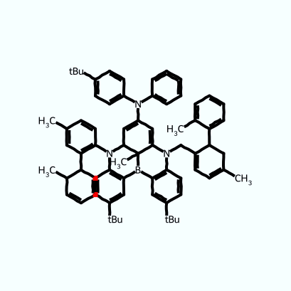 CC1=CC=C(CN2C3=CC(N(C4=CC=C=C=C4)c4ccc(C(C)(C)C)cc4)=CC4N(c5ccc(C)cc5C5C=CC=CC5C)c5ccc(C(C)(C)C)cc5B(c5cc(C(C)(C)C)ccc52)C34C)C(c2ccccc2C)C1